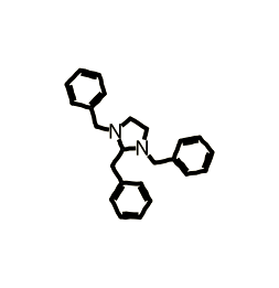 c1ccc(CC2N(Cc3ccccc3)CCN2Cc2ccccc2)cc1